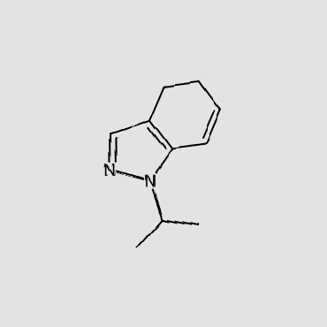 CC(C)n1ncc2c1C=CCC2